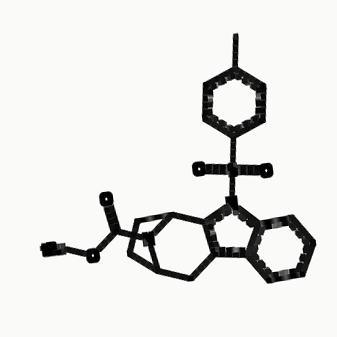 Cc1ccc(S(=O)(=O)n2c3c(c4ccccc42)CC2CCC3N2C(=O)OC(C)(C)C)cc1